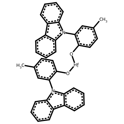 Cc1ccc([O][Hf][O]c2ccc(C)cc2-n2c3ccccc3c3ccccc32)c(-n2c3ccccc3c3ccccc32)c1